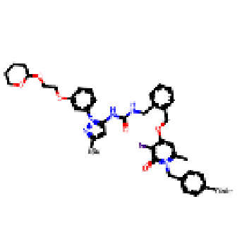 COc1ccc(Cn2c(C)cc(OCc3ccccc3CNC(=O)Nc3cc(C(C)(C)C)nn3-c3cccc(OCCOC4CCCCO4)c3)c(I)c2=O)cc1